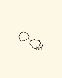 C1CCCC(C2CCCNCC2)CCC1